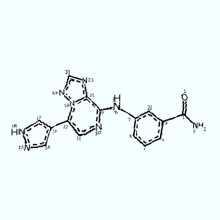 NC(=O)c1cccc(Nc2ncc(-c3cn[nH]c3)n3ncnc23)c1